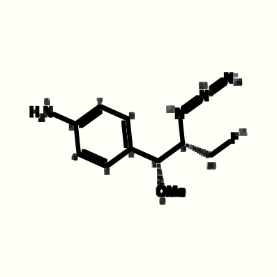 CO[C@H](c1ccc(N)cc1)[C@@H](CF)N=[N+]=[N-]